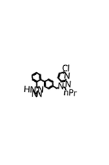 CCCc1nc2nc(Cl)ccc2n1Cc1ccc(-c2ccccc2-c2nnn[nH]2)cc1